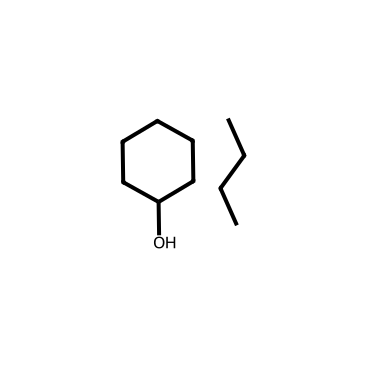 CCCC.OC1CCCCC1